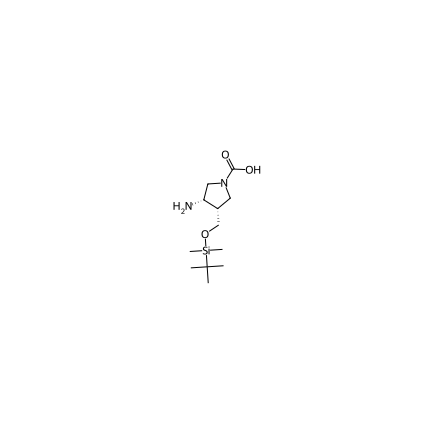 CC(C)(C)[Si](C)(C)OC[C@H]1CN(C(=O)O)C[C@H]1N